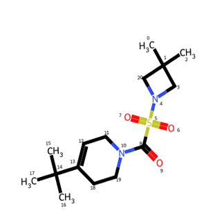 CC1(C)CN(S(=O)(=O)C(=O)N2CC=C(C(C)(C)C)CC2)C1